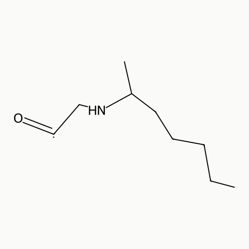 CCCCCC(C)NC[C]=O